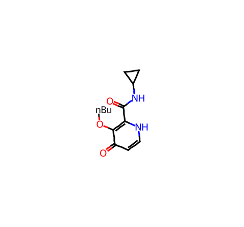 CCCCOc1c(C(=O)NC2CC2)[nH]ccc1=O